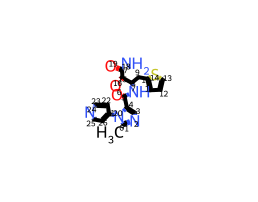 Cc1ncc(C(=O)NC(Cc2cccs2)C(=O)C(N)=O)n1-c1ccncc1